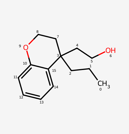 CCCC1(CCO)CCOc2ccccc21